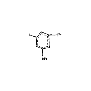 CCCc1cc(I)cc([C](C)C)c1